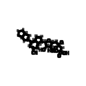 N#Cc1nc(N2CC3CCCC3C2)c2ccn([C@@H]3OC(CS(=O)(=O)CP(=O)(O)O)[C@@H](O)[C@H]3O)c2n1